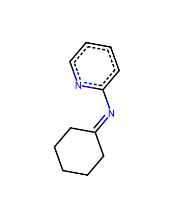 c1ccc(N=C2CCCCC2)nc1